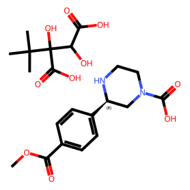 CC(C)(C)C(O)(C(=O)O)C(O)C(=O)O.COC(=O)c1ccc([C@@H]2CN(C(=O)O)CCN2)cc1